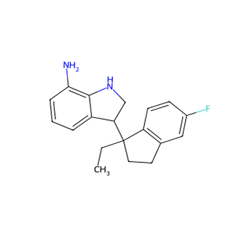 CCC1(C2CNc3c(N)cccc32)CCc2cc(F)ccc21